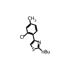 [CH2]CCCc1nc(-c2ccc(C)cc2Cl)cs1